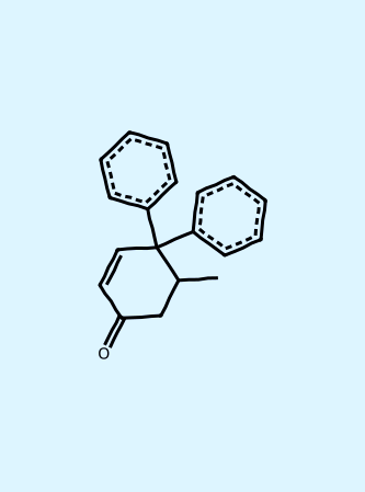 CC1CC(=O)C=CC1(c1ccccc1)c1ccccc1